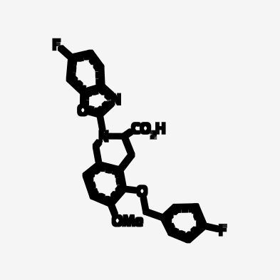 COc1ccc2c(c1OCc1ccc(F)cc1)CC(C(=O)O)N(c1nc3ccc(F)cc3o1)C2